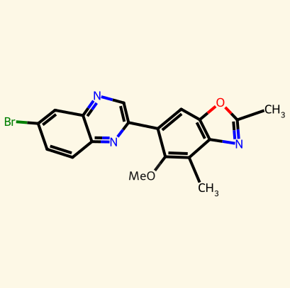 COc1c(-c2cnc3cc(Br)ccc3n2)cc2oc(C)nc2c1C